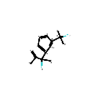 C=C(C)C(C)(F)c1cccc(C(C)(C)F)c1